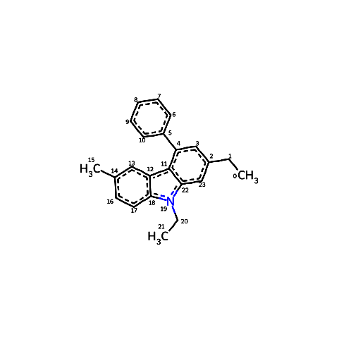 CCc1cc(-c2ccccc2)c2c3cc(C)ccc3n(CC)c2c1